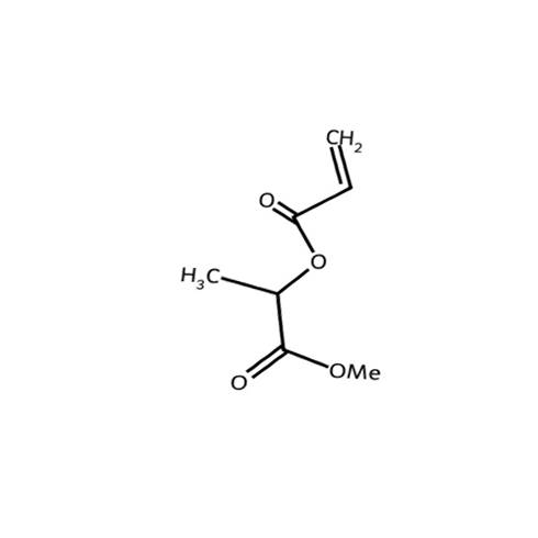 C=CC(=O)OC(C)C(=O)OC